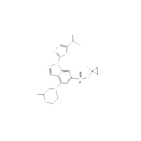 CC1CN(c2cc(S(=O)(=O)NC3(C)CC3)cc3c2cnn3-c2nnc(C(F)F)s2)CCN1